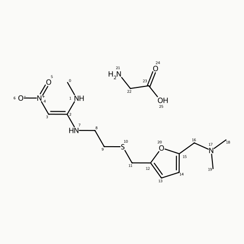 CNC(=C[N+](=O)[O-])NCCSCc1ccc(CN(C)C)o1.NCC(=O)O